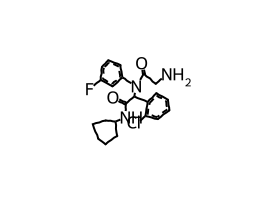 NCC(=O)N(c1cccc(F)c1)C(C(=O)NC1CCCCC1)c1ccccc1Cl